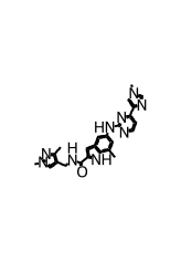 Cc1nn(C)cc1CNC(=O)c1cc2cc(Nc3nccc(-c4cn(C)cn4)n3)cc(C)c2[nH]1